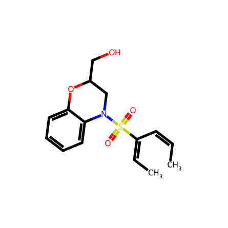 C/C=C\C(=C/C)S(=O)(=O)N1CC(CO)Oc2ccccc21